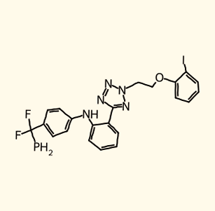 FC(F)(P)c1ccc(Nc2ccccc2-c2nnn(CCOc3ccccc3I)n2)cc1